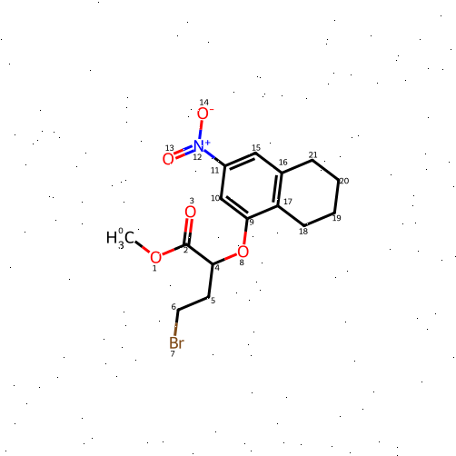 COC(=O)C(CCBr)Oc1cc([N+](=O)[O-])cc2c1CCCC2